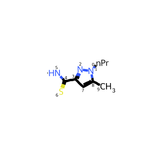 CCCn1nc(C([NH])=S)cc1C